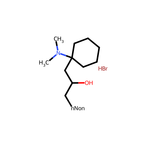 Br.CCCCCCCCCCC(O)CC1(N(C)C)CCCCC1